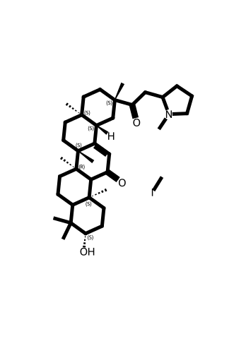 CI.CN1CCCC1CC(=O)[C@@]1(C)CC[C@]2(C)CC[C@]3(C)C(=CC(=O)C4[C@@]5(C)CC[C@H](O)C(C)(C)C5CC[C@]43C)[C@H]2C1